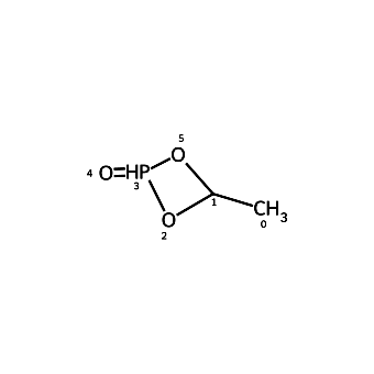 CC1O[PH](=O)O1